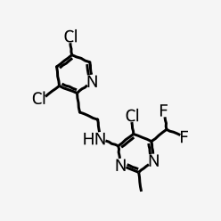 Cc1nc(NCCc2ncc(Cl)cc2Cl)c(Cl)c(C(F)F)n1